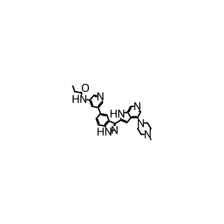 CCC(=O)Nc1cncc(-c2ccc3[nH]nc(-c4cc5c(N6CCN(C)CC6)cncc5[nH]4)c3c2)c1